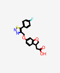 O=C(O)CC1COc2cc(OCc3nnsc3-c3ccc(F)cc3)ccc21